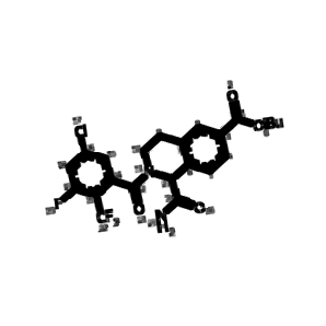 CC(C)COC(=O)c1ccc2c(c1)CCN(C(=O)c1cc(Cl)cc(F)c1C(F)(F)F)C2C(N)=O